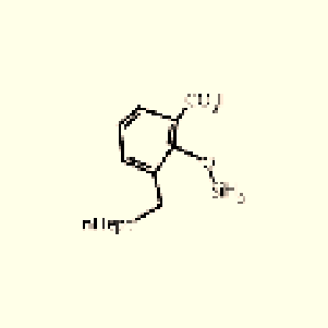 CCCCCCCCc1cccc(C(=O)O)c1O[SiH3]